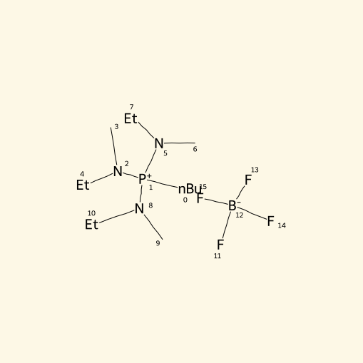 CCCC[P+](N(C)CC)(N(C)CC)N(C)CC.F[B-](F)(F)F